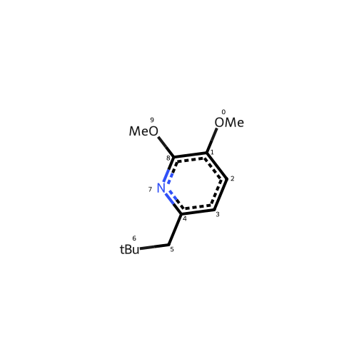 COc1ccc(CC(C)(C)C)nc1OC